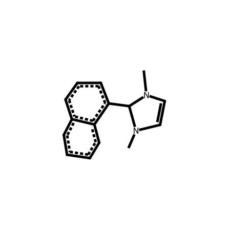 CN1C=CN(C)C1c1cccc2ccccc12